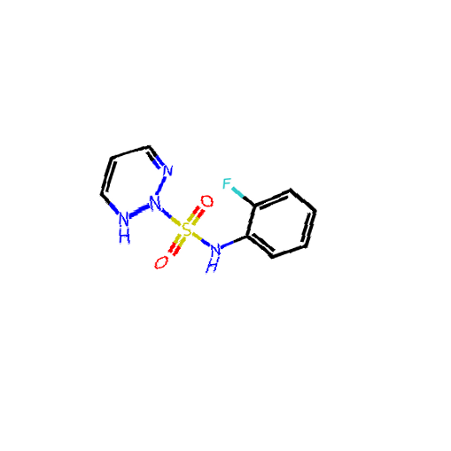 O=S(=O)(Nc1ccccc1F)N1N=CC=CN1